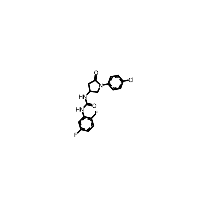 O=C(Nc1cc(F)ccc1F)NC1CC(=O)N(c2ccc(Cl)cc2)C1